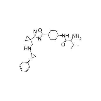 CC(C)C(N)C(=O)N[C@H]1CC[C@H](c2nc(C3(CN[C@@H]4C[C@H]4c4ccccc4)CC3)no2)CC1